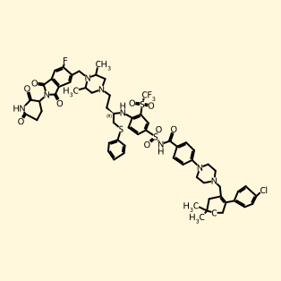 CC1CN(CC[C@H](CSc2ccccc2)Nc2ccc(S(=O)(=O)NC(=O)c3ccc(N4CCN(CC5=C(c6ccc(Cl)cc6)CCC(C)(C)C5)CC4)cc3)cc2S(=O)(=O)C(F)(F)F)CC(C)N1Cc1cc2c(cc1F)C(=O)N(C1CCC(=O)NC1=O)C2=O